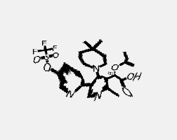 Cc1ncc(-c2ccc(OS(=O)(=O)C(F)(F)F)cn2)c(N2CCC(C)(C)CC2)c1[C@H](OC(C)C)C(=O)O